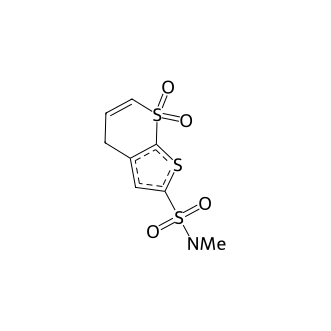 CNS(=O)(=O)c1cc2c(s1)S(=O)(=O)C=CC2